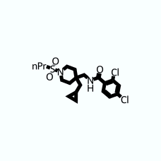 CCCS(=O)(=O)N1CCC(CNC(=O)c2ccc(Cl)cc2Cl)(CC2CC2)CC1